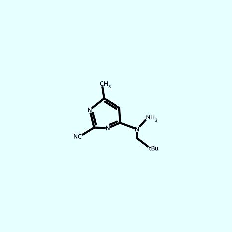 Cc1cc(N(N)CC(C)(C)C)nc(C#N)n1